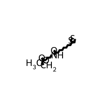 C=C(C)C(=O)OCCCNC(=O)CCCCCCCC1CCSS1